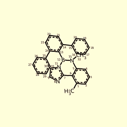 Cc1cccc2c1-c1nccn1B(c1c(-c3ccccc3)cccc1-c1ccccc1)N2C